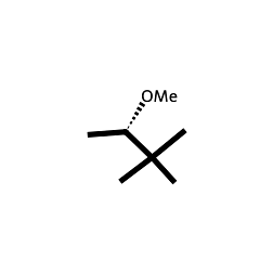 CO[C@@H](C)C(C)(C)C